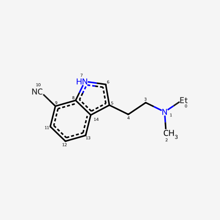 CCN(C)CCc1c[nH]c2c(C#N)cccc12